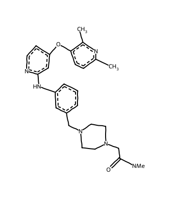 CNC(=O)CN1CCN(Cc2cccc(Nc3cc(Oc4ccc(C)nc4C)ccn3)c2)CC1